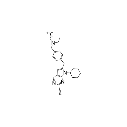 C#Cc1ncc2cc(Cc3ccc(CN(CC)C[11CH3])cc3)n(C3CCCCC3)c2n1